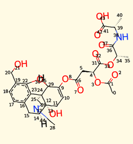 CC(=O)O[C@@H](CC(=O)OC1=CC[C@@]2(O)[C@H]3Cc4ccc(CO)c5c4[C@@]2(CCN3C)[C@H]1O5)C(=O)O[C@@H](C)C(=O)N[C@@H](C)C(=O)O